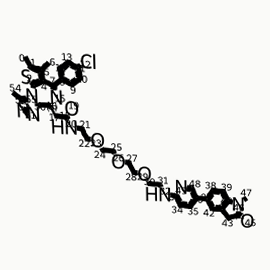 Cc1sc2c(c1C)C(c1ccc(Cl)cc1)=N[C@@H](CC(=O)NCCOCCOCCOCCNc1ccc(-c3ccc4c(c3)CC(=O)N4C)cn1)c1nnc(C)n1-2